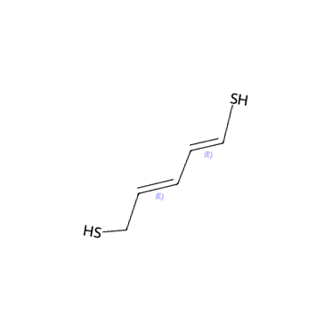 S/C=C/C=C/CS